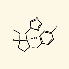 C[C@]1(CCl)CC[C@@H](Cc2ccc(F)cc2)[C@]1(O)Cn1cncn1